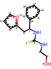 OCCNC(=S)NC(Cc1ccco1)c1ccccc1